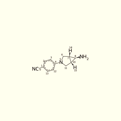 N#Cc1ccc(N2C[C@@H]3[C@@H](N)[C@@H]3C2)cc1